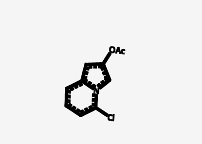 CC(=O)Oc1cc2cccc(Cl)n2c1